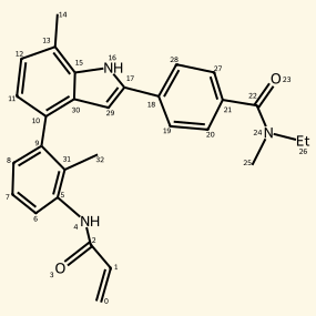 C=CC(=O)Nc1cccc(-c2ccc(C)c3[nH]c(-c4ccc(C(=O)N(C)CC)cc4)cc23)c1C